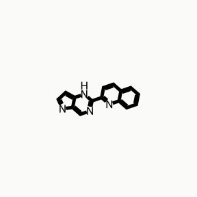 c1ccc2nc(-c3ncc4nccc-4[nH]3)ccc2c1